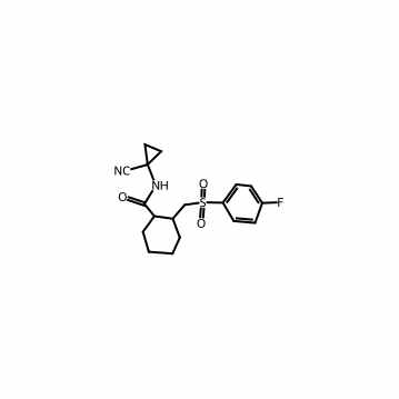 N#CC1(NC(=O)C2CCCCC2CS(=O)(=O)c2ccc(F)cc2)CC1